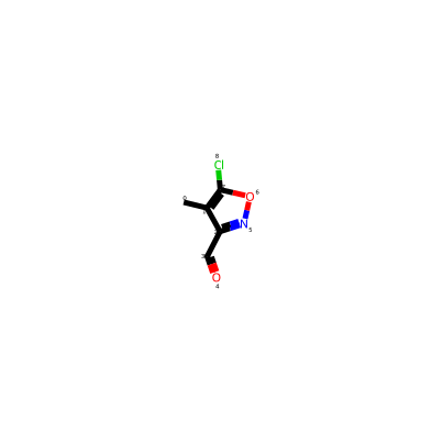 Cc1c([C]=O)noc1Cl